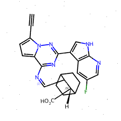 C#Cc1ccc2c(/N=C\C3C4CCC(CC4)[C@@H]3C(=O)O)nc(-c3c[nH]c4ncc(F)cc34)nn12